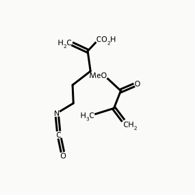 C=C(C)C(=O)OC.C=C(CCCN=C=O)C(=O)O